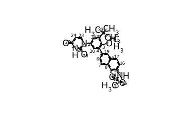 CCOc1c(-c2ccc3cc(NS(C)(=O)=O)ccc3c2)cc(-n2ccc(=O)[nH]c2=O)cc1C(C)(C)C